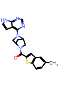 Cc1ccc2sc(C(=O)N3CC4CC3CN4c3ncnc4[nH]ccc34)cc2c1